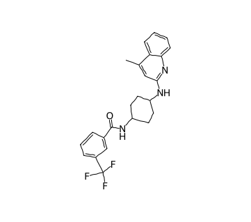 Cc1cc(NC2CCC(NC(=O)c3cccc(C(F)(F)F)c3)CC2)nc2ccccc12